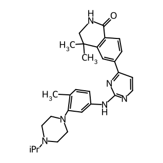 Cc1ccc(Nc2nccc(-c3ccc4c(c3)C(C)(C)CNC4=O)n2)cc1N1CCN(C(C)C)CC1